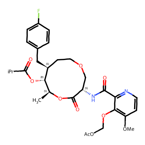 COc1ccnc(C(=O)N[C@H]2COCC[C@H](Cc3ccc(F)cc3)[C@@H](OC(=O)C(C)C)[C@H](C)OC2=O)c1OCOC(C)=O